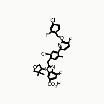 Cc1cc(Cc2nc3c(F)cc(C(=O)O)cc3n2C2COCC2(C)C)c(Cl)cc1-c1ccc(F)c(OCc2ccc(Cl)cc2F)n1